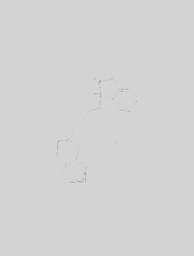 CCC1(CCCCN2CCc3ccccc3C2)C(=O)Nc2ccccc21.Cl